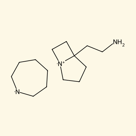 C1CCC[N]CC1.NCCC12CCC[N+]1CC2